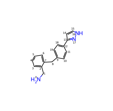 NCc1ccccc1Cc1ccc(-c2cc[nH]n2)cc1